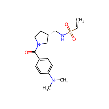 C=CS(=O)(=O)NC[C@H]1CCN(C(=O)c2ccc(N(C)C)cc2)C1